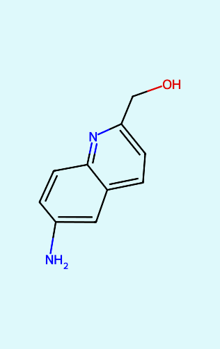 Nc1ccc2nc(CO)ccc2c1